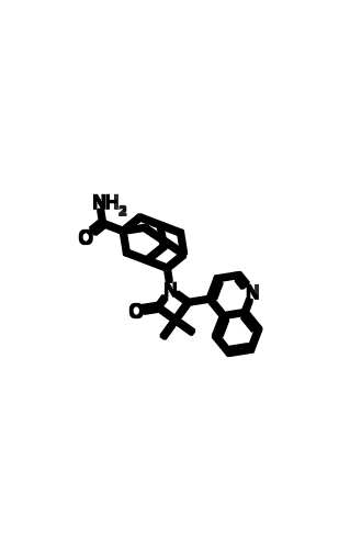 CC1(C)C(=O)N(C2C3CC4CC2CC(C(N)=O)(C4)C3)C1c1ccnc2ccccc12